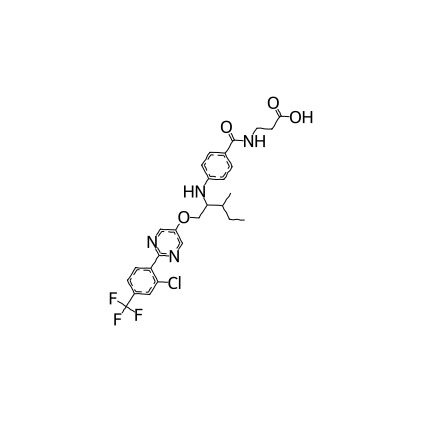 CCC(C)C(COc1cnc(-c2ccc(C(F)(F)F)cc2Cl)nc1)Nc1ccc(C(=O)NCCC(=O)O)cc1